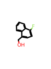 OCc1ccc(F)c2ccccc12